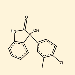 Cc1cc(C2(O)C(=O)Nc3ccccc32)ccc1Cl